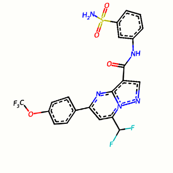 NS(=O)(=O)c1cccc(NC(=O)c2cnn3c(C(F)F)cc(-c4ccc(OC(F)(F)F)cc4)nc23)c1